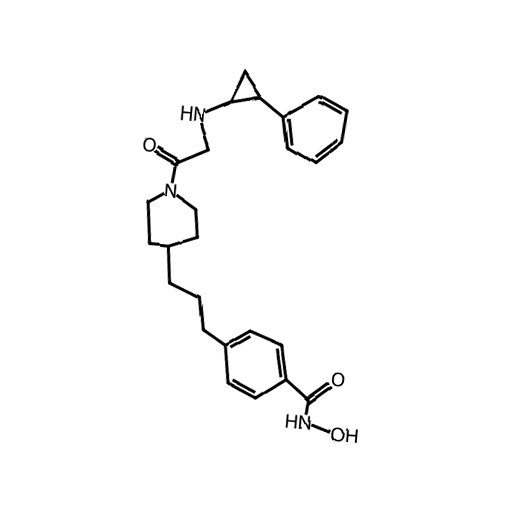 O=C(NO)c1ccc(CCCC2CCN(C(=O)CNC3CC3c3ccccc3)CC2)cc1